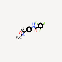 CCc1oc(C(F)(F)F)nc1-c1ccc(NC(=O)c2c(F)cc(F)cc2F)cc1